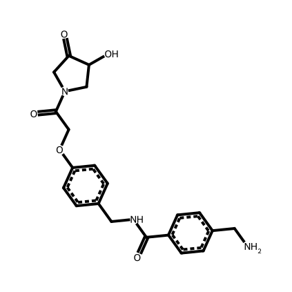 NCc1ccc(C(=O)NCc2ccc(OCC(=O)N3CC(=O)C(O)C3)cc2)cc1